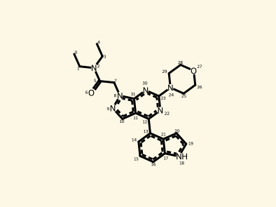 CCN(CC)C(=O)Cn1ncc2c(-c3cccc4[nH]ccc34)nc(N3CCOCC3)nc21